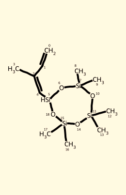 C=CC(C)=C[SiH]1O[Si](C)(C)O[Si](C)(C)O[Si](C)(C)O1